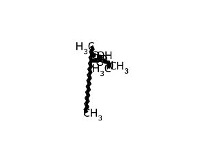 CCCCCCCCCCCCCCCCCCC(COP(=O)(O)OCCN(C)C)CC(=O)CCC